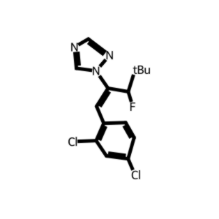 CC(C)(C)C(F)/C(=C\c1ccc(Cl)cc1Cl)n1cncn1